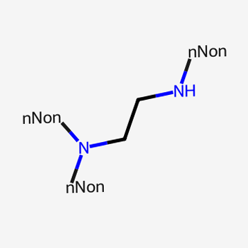 CCCCCCCCCNCCN(CCCCCCCCC)CCCCCCCCC